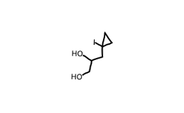 OCC(O)CC1(I)CC1